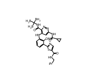 BC(B)(B)NC(=O)c1nnc(NC(=O)C2CC2)cc1Nc1cccc(-c2ncc(C(=O)NCC(C)C)s2)c1OC